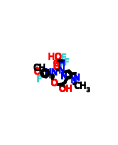 CCn1ncc2cc3nc(c21)C[C@H](O)COC[C@H](c1ccc(OC)c(F)c1)NC(=O)N3.O=C(O)C(F)(F)F